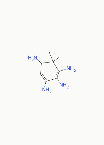 CC1(C)C(N)=C(N)C(N)=CC1N